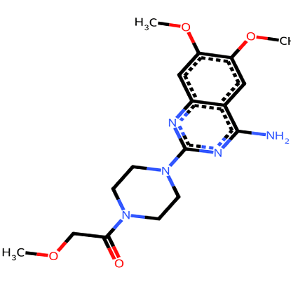 COCC(=O)N1CCN(c2nc(N)c3cc(OC)c(OC)cc3n2)CC1